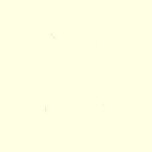 CCCC1CC(=O)C2(C)CCC3c4cc5ncoc5c(Cl)c4CCC3C12